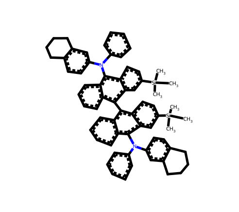 C[Si](C)(C)c1ccc2c(N(c3ccccc3)c3ccc4c(c3)CCCC4)c3ccccc3c(-c3c4ccccc4c(N(c4ccccc4)c4ccc5c(c4)CCCC5)c4cc([Si](C)(C)C)ccc34)c2c1